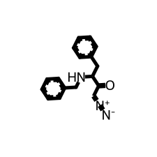 [N-]=[N+]=CC(=O)C(Cc1ccccc1)NCc1ccccc1